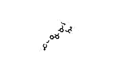 Cc1c(COc2cc(OCc3cncc(C(N)=O)c3)c(CNC(CO)C(=O)O)cc2Cl)cccc1-c1cccc(OCCCN2CCC(O)(C(=O)O)CC2)c1